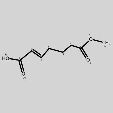 COC(=O)CCC/C=C/C(=O)O